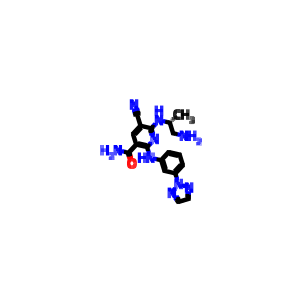 C[C@H](CN)Nc1nc(Nc2cccc(-n3nccn3)c2)c(C(N)=O)cc1C#N